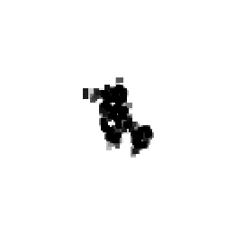 N#Cc1c(N)sc2c(F)ccc(-c3c(Cl)c4c5c(nc(OCC67CCCN6C[C@H](F)C7)nc5c3F)N3CC(F)(F)CC3CCO4)c12